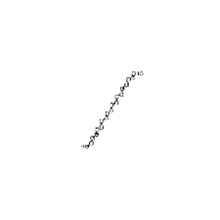 O=COOOOOOOOOOOOOOOOOO